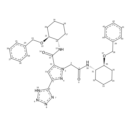 O=C(Cn1nc(-c2nnn[nH]2)cc1C(=O)N[C@H]1CCCC[C@@H]1OCc1ccccc1)N[C@H]1CCCC[C@@H]1OCc1ccccc1